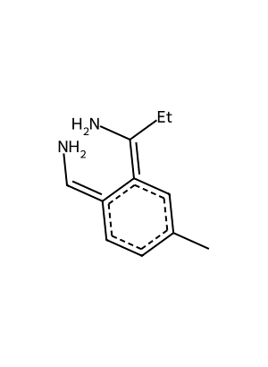 CC/C(N)=c1\cc(C)cc\c1=C\N